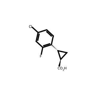 O=C(O)[C@@H]1C[C@H]1c1ccc(Cl)cc1F